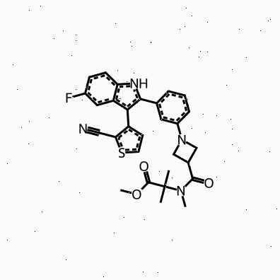 COC(=O)C(C)(C)N(C)C(=O)C1CN(c2cccc(-c3[nH]c4ccc(F)cc4c3-c3ccsc3C#N)c2)C1